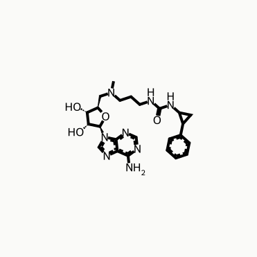 CN(CCCNC(=O)NC1CC1c1ccccc1)C[C@H]1O[C@@H](n2cnc3c(N)ncnc32)[C@H](O)[C@@H]1O